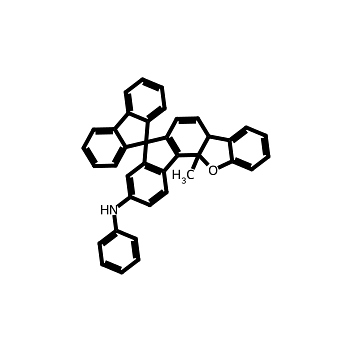 CC12Oc3ccccc3C1C=CC1=C2c2ccc(Nc3ccccc3)cc2C12c1ccccc1-c1ccccc12